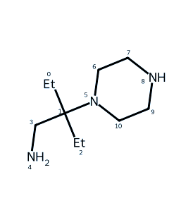 CCC(CC)(CN)N1CCNCC1